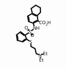 CCN(CC)CCCSc1ccccc1S(=O)(=O)Nc1ccc2c(c1C(=O)O)CCCC2